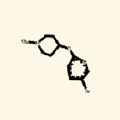 CC(C)(C)N1CCC(Oc2ccc(Br)cn2)CC1